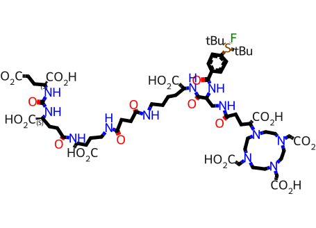 CC(C)(C)S(F)(c1ccc(C(=O)NC(CNC(=O)CCC(C(=O)O)N2CCN(CC(=O)O)CCN(CC(=O)O)CCN(CC(=O)O)CC2)C(=O)NC(CCCCNC(=O)CCC(=O)NCCCC(NC(=O)CC[C@H](NC(=O)N[C@@H](CCC(=O)O)C(=O)O)C(=O)O)C(=O)O)C(=O)O)cc1)C(C)(C)C